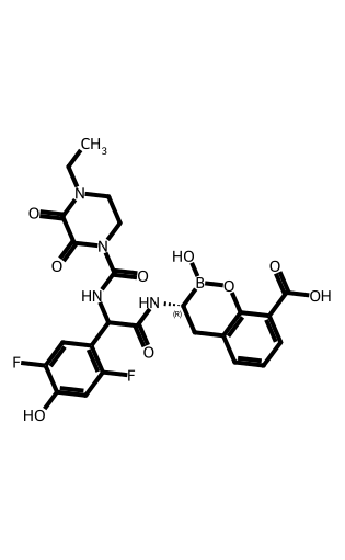 CCN1CCN(C(=O)NC(C(=O)N[C@H]2Cc3cccc(C(=O)O)c3OB2O)c2cc(F)c(O)cc2F)C(=O)C1=O